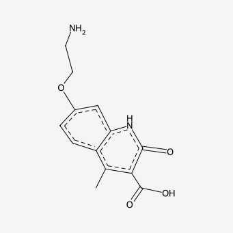 Cc1c(C(=O)O)c(=O)[nH]c2cc(OCCN)ccc12